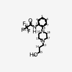 O=C(Nc1ccccc1N1CCN(CCCO)CC1)C(F)(F)F